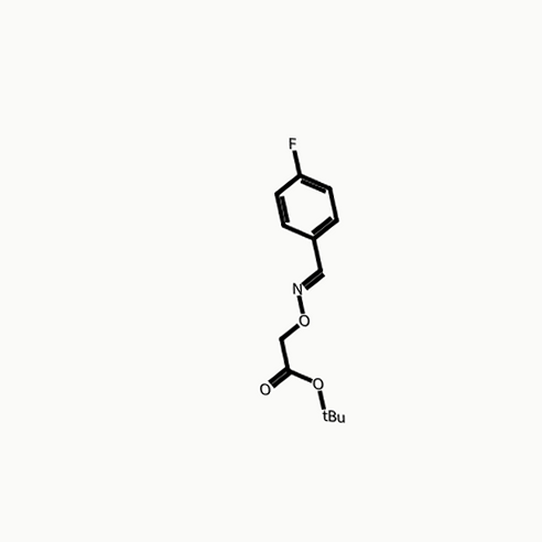 CC(C)(C)OC(=O)CON=Cc1ccc(F)cc1